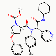 CC(C)(C)OC(=O)N1C[C@H](Oc2ccccc2)C[C@@H]1C(=O)N(c1ccc(C(C)(C)C)cc1)C(C(=O)NC1CCCCC1)c1cccnc1